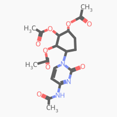 CC(=O)Nc1ccn(C2CCC(OC(C)=O)C(OC(C)=O)C2OC(C)=O)c(=O)n1